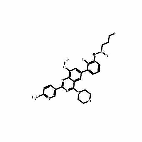 CC(C)Oc1cc(-c2cccc(N[S+]([O-])CCCF)c2F)cc2c(N3CCOCC3)nc(-c3ccc(N)nc3)nc12